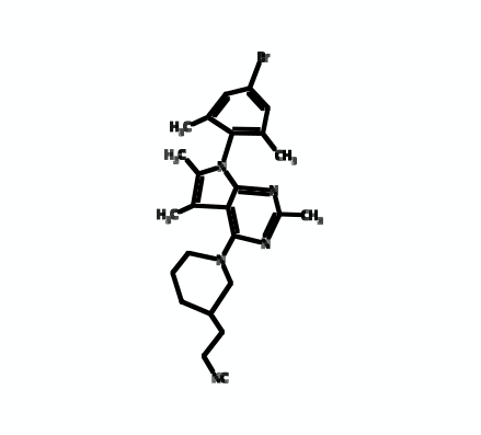 [C-]#[N+]CCC1CCCN(c2nc(C)nc3c2c(C)c(C)n3-c2c(C)cc(Br)cc2C)C1